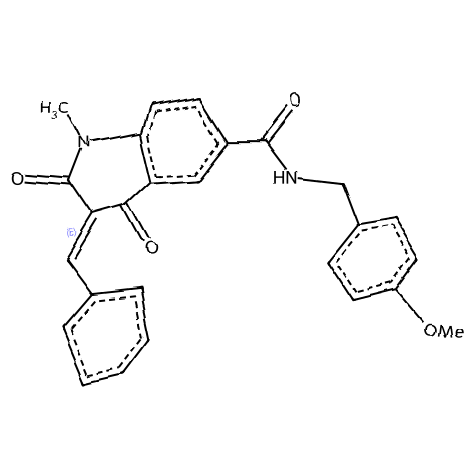 COc1ccc(CNC(=O)c2ccc3c(c2)C(=O)/C(=C\c2ccccc2)C(=O)N3C)cc1